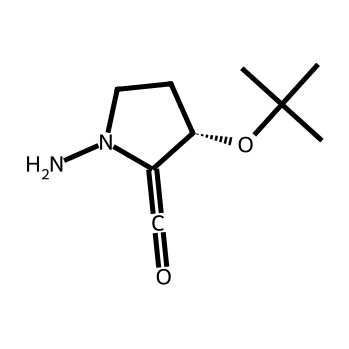 CC(C)(C)O[C@H]1CCN(N)C1=C=O